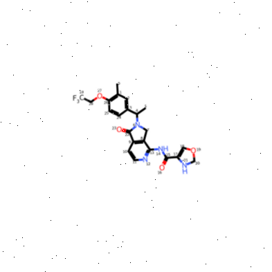 Cc1cc(C(C)N2Cc3c(ccnc3NC(=O)C3=COCN3)C2=O)ccc1OCC(F)(F)F